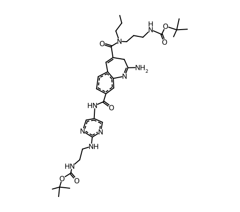 CCCN(CCCNC(=O)OC(C)(C)C)C(=O)C1=Cc2ccc(C(=O)Nc3cnc(NCCNC(=O)OC(C)(C)C)nc3)cc2N=C(N)C1